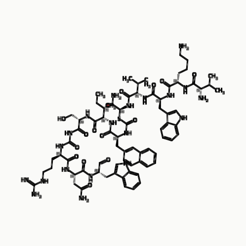 CC[C@H](C)[C@H](NC(=O)[C@H](Cc1ccc2ccccc2c1)NC(=O)S[C@H](NC(=O)[C@@H](NC(=O)[C@H](Cc1c[nH]c2ccccc12)NC(=O)[C@H](CCCCN)NC(=O)[C@@H](N)C(C)C)C(C)C)C(N)=O)C(=O)N[C@@H](CO)C(=O)NC(=O)N[C@H](CCCNC(=N)N)C(=O)N[C@@H](CC(N)=O)C(=O)N[C@H](C=O)Cc1c[nH]c2ccccc12